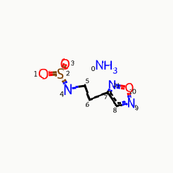 N.O=S(=O)=NCCc1cnon1